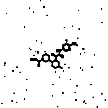 CNC(=O)N1CCCC(C2CCC(C)CN2C(=O)C(=O)Nc2cnc(N)c(C)c2)C1